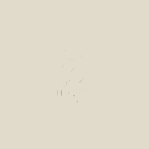 Cc1cc2c(cc1C(=O)c1c(C)cccc1C(=O)O)C(C)(C)CCC2(C)C